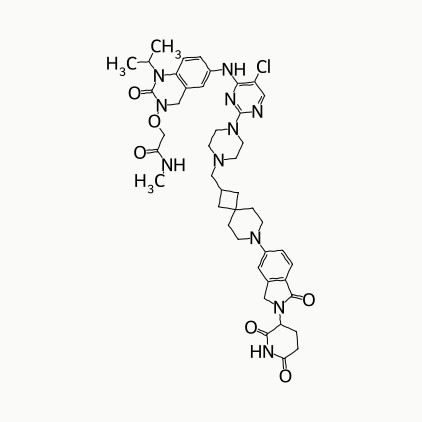 CNC(=O)CON1Cc2cc(Nc3nc(N4CCN(CC5CC6(CCN(c7ccc8c(c7)CN(C7CCC(=O)NC7=O)C8=O)CC6)C5)CC4)ncc3Cl)ccc2N(C(C)C)C1=O